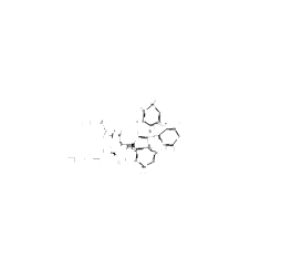 CCOC(=O)C(=NOC)C(=O)C=P(c1ccccc1)(c1ccccc1)c1ccccc1